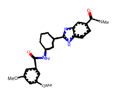 CNC(=O)c1ccc2[nH]c(C3CCCC(NC(=O)c4cc(OC)cc(OC)c4)C3)nc2c1